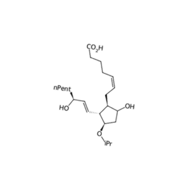 CCCCC[C@H](O)/C=C/[C@H]1[C@H](OC(C)C)CC(O)[C@@H]1C/C=C\CCCC(=O)O